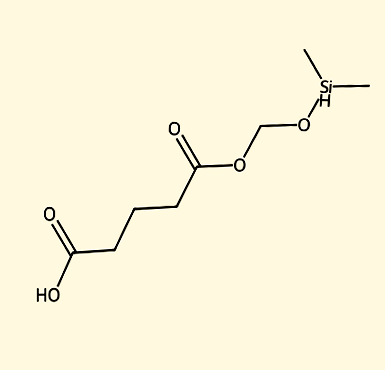 C[SiH](C)OCOC(=O)CCCC(=O)O